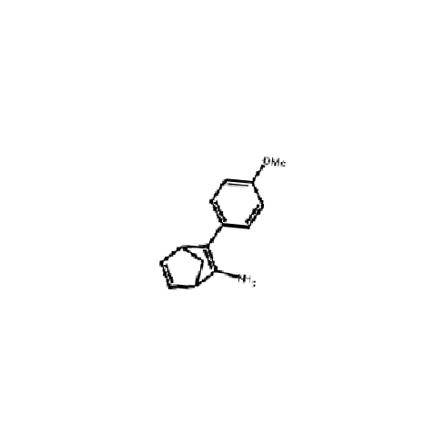 COc1ccc(C2=C(N)C3C=CC2C3)cc1